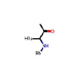 CC(=O)[CH]([RaH])[NH][Rb]